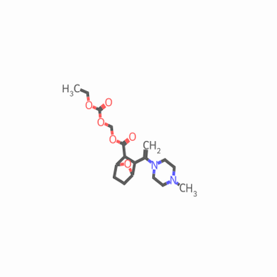 C=C(C1C2CCC(O2)C1C(=O)OCOC(=O)OCC)N1CCN(C)CC1